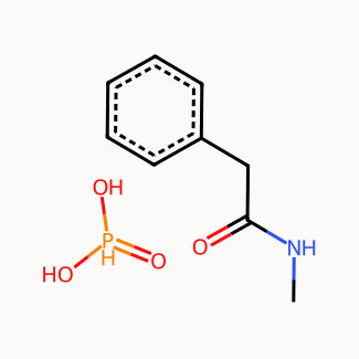 CNC(=O)Cc1ccccc1.O=[PH](O)O